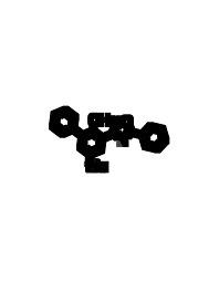 CC(C)(C)c1cc(-c2ccccc2)c(O)c(-c2noc(-c3ccccc3)n2)c1